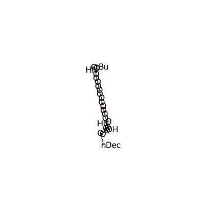 CCCCCCCCCCCCCCCCCC(=O)OCCCOP(=O)(O)OCCNC(=O)CCOCCOCCOCCOCCOCCOCCOCCOCCOCCOCCOCCOCCNC(=O)OC(C)(C)C